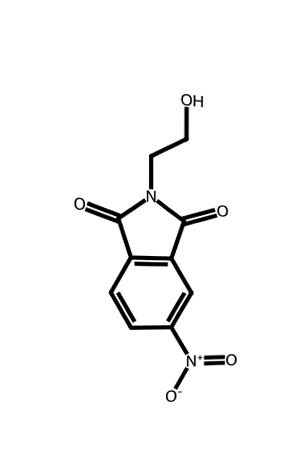 O=C1c2ccc([N+](=O)[O-])cc2C(=O)N1CCO